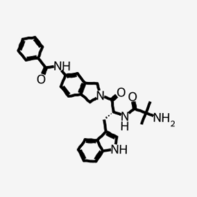 CC(C)(N)C(=O)N[C@H](Cc1c[nH]c2ccccc12)C(=O)N1Cc2ccc(NC(=O)c3ccccc3)cc2C1